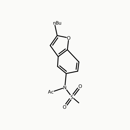 CCCCc1cc2cc(N(C(C)=O)S(C)(=O)=O)ccc2o1